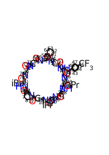 CC[C@H](C)[C@@H]1NC(=O)[C@@H]2CCCCN2C(=O)C[C@@H](C)NC(=O)[C@H](CC(C)C)N(C)C(=O)C(C)(C)NC(=O)[C@H](CC(C)C)N(C)C(=O)[C@H](CCc2ccc(C(F)(F)F)cc2)NC(=O)CN(C)C(=O)[C@H](CC2CCCCC2)N(C)C(=O)CN(C)C(=O)CN(C)C1=O